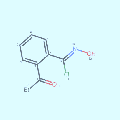 CCC(=O)c1ccccc1C(Cl)=NO